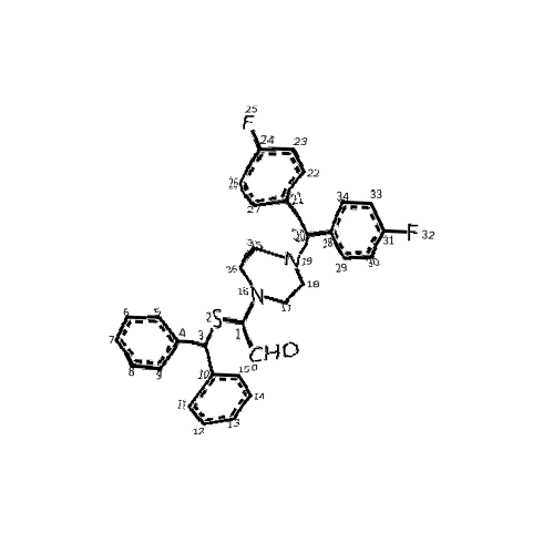 O=CC(SC(c1ccccc1)c1ccccc1)N1CCN(C(c2ccc(F)cc2)c2ccc(F)cc2)CC1